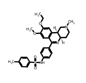 CCOc1cc2c(cc1OC)C(c1ccc(NS(=O)(=O)c3ccc(C)cc3)cc1)=N[C@@H]1CCN(C)C[C@H]21